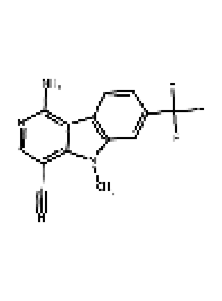 Cn1c2cc(C(F)(F)F)ccc2c2c(N)ncc(C#N)c21